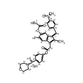 CCCCC(=O)Oc1cc2c(cc1F)C(CC(=O)Oc1ccc(P(=S)(S)N3CCOCC3)cc1)=C(C)/C2=C/c1ccc([S+](C)[O-])cc1